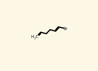 C=CCCC=CBr